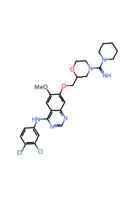 COc1cc2c(Nc3ccc(Cl)c(Cl)c3)ncnc2cc1OCC1CN(C(=N)N2CCCCC2)CCO1